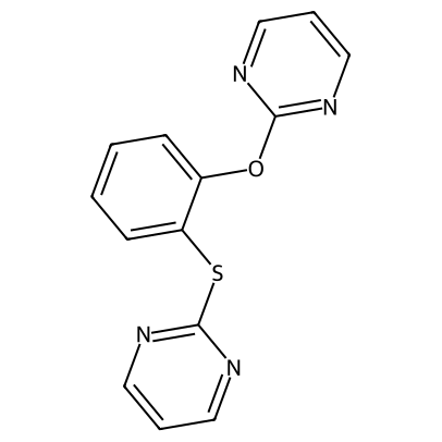 c1cnc(Oc2ccccc2Sc2ncccn2)nc1